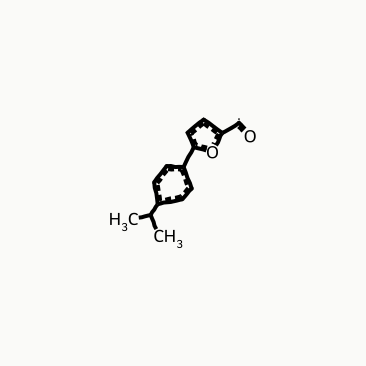 CC(C)c1ccc(-c2ccc([C]=O)o2)cc1